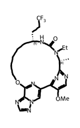 CCN1C(=O)N[C@@H](CCC(F)(F)F)CCCCCOc2nc(cn3ncnc23)-c2nc(ncc2OC)[C@H]1C